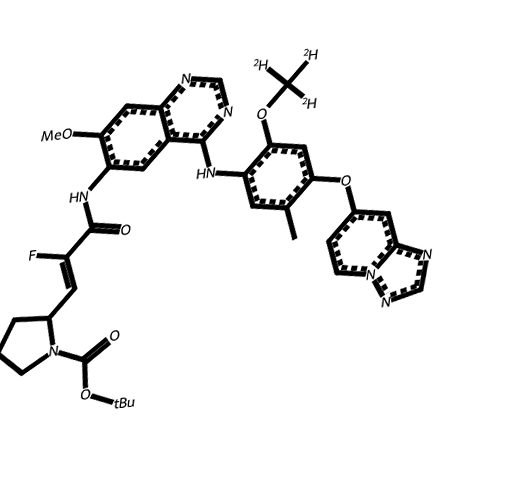 [2H]C([2H])([2H])Oc1cc(Oc2ccn3ncnc3c2)c(C)cc1Nc1ncnc2cc(OC)c(NC(=O)C(F)=CC3CCCN3C(=O)OC(C)(C)C)cc12